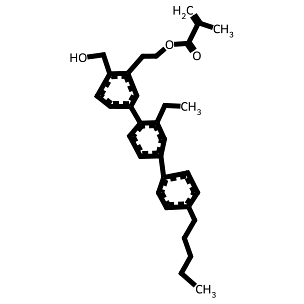 C=C(C)C(=O)OCCc1cc(-c2ccc(-c3ccc(CCCCC)cc3)cc2CC)ccc1CO